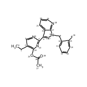 CCc1cnc(-c2nn(Cc3ccccc3F)c3ncccc23)nc1OC(C)=O